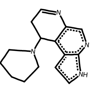 C1=Nc2cnc3[nH]ccc3c2C(N2CCCCC2)C1